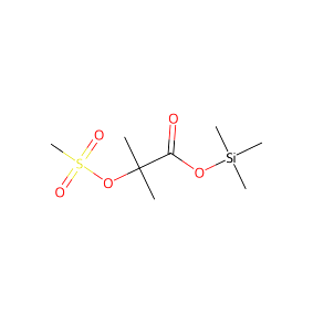 CC(C)(OS(C)(=O)=O)C(=O)O[Si](C)(C)C